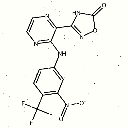 O=c1[nH]c(-c2nccnc2Nc2ccc(C(F)(F)F)c([N+](=O)[O-])c2)no1